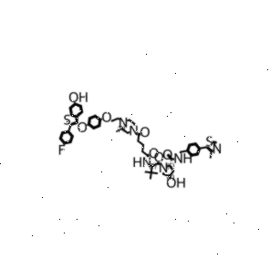 Cc1ncsc1-c1ccc(CNC(=O)[C@@H]2C[C@@H](O)CN2C(=O)[C@@H](NC(=O)CCCC(=O)N2CCN(CCOc3ccc(Oc4c(-c5ccc(F)cc5)sc5cc(O)ccc45)cc3)[C@H](C)C2)C(C)(C)C)cc1